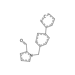 O=Cc1cccn1Cc1ccc(-c2ccccc2)cc1